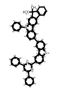 CC1(C)C2=C(C=CCC2)c2cc3c4cc(-c5ccc6sc7ccc(-c8nc(-c9ccccc9)cc(-c9ccccc9)n8)cc7c6c5)ccc4n(-c4ccccc4)c3cc21